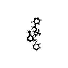 O=C(c1cccc(SN2CCCCC2)c1)N1N=C(c2ccccc2)CC1(O)C(F)(F)F